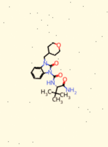 CC(C)(C)[C@H](NC(=O)n1c(=O)n(CC2CCOCC2)c2ccccc21)C(N)=O